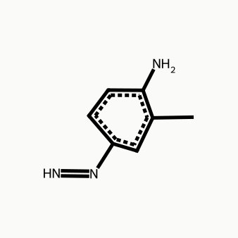 Cc1cc(N=N)ccc1N